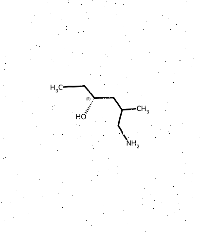 CC[C@@H](O)CC(C)CN